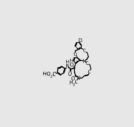 CN1C/C=C/CCCCN2CCCCc3cc(Cl)ccc3COc3ccc(cc32)[C@@](O)(C(=O)Nc2ccc(C(=O)O)cc2)CC1=O